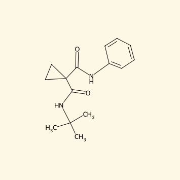 CC(C)(C)NC(=O)C1(C(=O)Nc2ccccc2)CC1